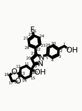 OCc1ccc(-n2nc(C3(O)CCC4(CC3)OCCO4)cc2-c2ccc(F)cc2)cc1